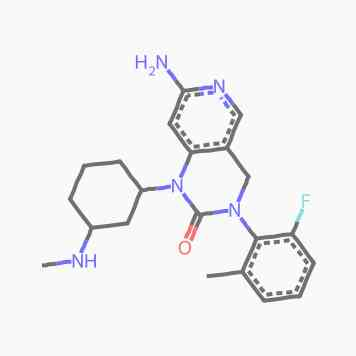 CNC1CCCC(N2C(=O)N(c3c(C)cccc3F)Cc3cnc(N)cc32)C1